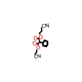 N#CCCCOC(=O)C(C(=O)OCCCC#N)c1ccccc1